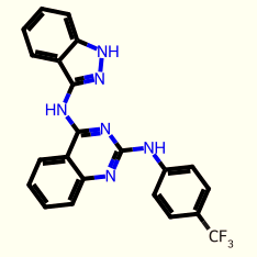 FC(F)(F)c1ccc(Nc2nc(Nc3n[nH]c4ccccc34)c3ccccc3n2)cc1